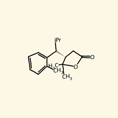 Cc1ccccc1C(C(C)C)[C@@H]1CC(=O)OC1(C)C